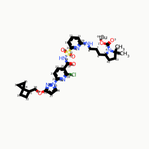 CC(C)(C)OC(=O)N1C(CCCNc2cccc(S(=O)(=O)NC(=O)c3ccc(-n4ccc(OCC5CCC56CC6)n4)nc3Cl)n2)CCC1(C)C